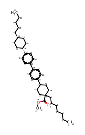 CCCCCCCC1(C(=O)OC)CCC(c2ccc(-c3ccc([C@H]4CC[C@H](CCCCC)CC4)cc3)cc2)CC1